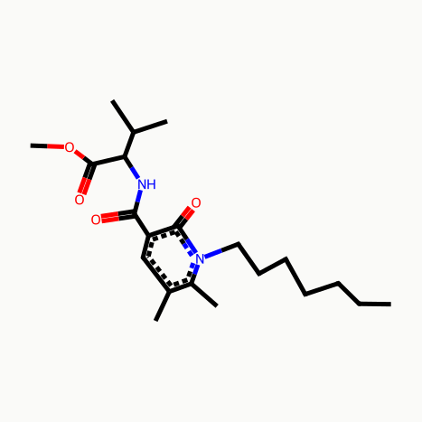 CCCCCCCn1c(C)c(C)cc(C(=O)NC(C(=O)OC)C(C)C)c1=O